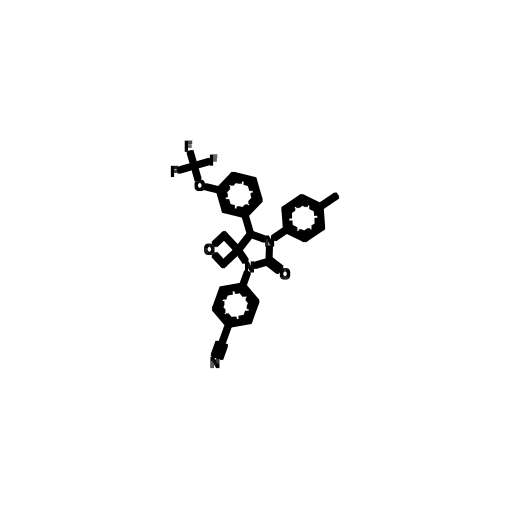 Cc1ccc(N2C(=O)N(c3ccc(C#N)cc3)C3(COC3)C2c2cccc(OC(F)(F)F)c2)cc1